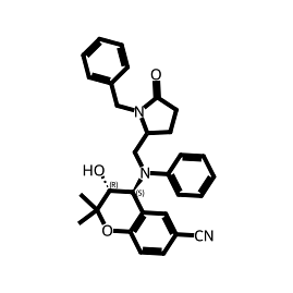 CC1(C)Oc2ccc(C#N)cc2[C@H](N(CC2CCC(=O)N2Cc2ccccc2)c2ccccc2)[C@H]1O